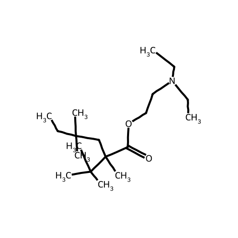 CCN(CC)CCOC(=O)C(C)(CC(C)(C)CC)C(C)(C)C